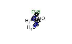 CN1CCN(c2ccccc2C=C2C(C=O)N(c3ccc(Cl)c(Cl)c3)CCN2C)CC1